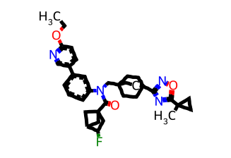 CCOc1ccc(-c2cccc(N(CC34CCC(c5noc(C6(C)CC6)n5)(CC3)CC4)C(=O)C34CC(F)C(C3)C4)c2)cn1